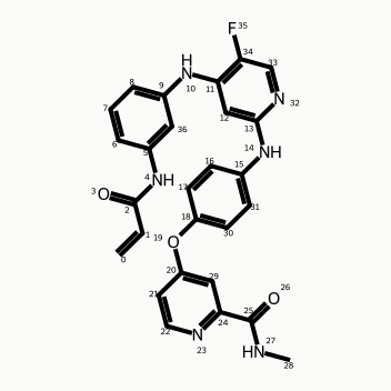 C=CC(=O)Nc1cccc(Nc2cc(Nc3ccc(Oc4ccnc(C(=O)NC)c4)cc3)ncc2F)c1